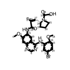 COc1cc2ncnc(Nc3cc(Br)ccc3OC)c2cc1NC(=O)/C(F)=C\[C@H]1CCCN1C(=O)O